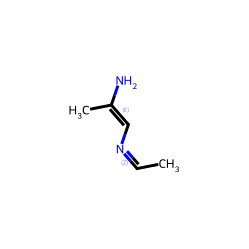 C/C=N\C=C(/C)N